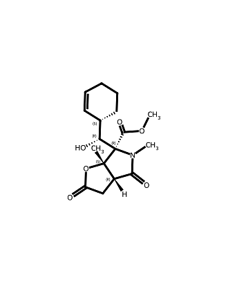 COC(=O)[C@]1([C@H](O)[C@@H]2C=CCCC2)N(C)C(=O)[C@@H]2CC(=O)O[C@@]21C